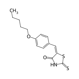 CCCCCOc1ccc(C=C2SC(=S)NC2=O)cc1